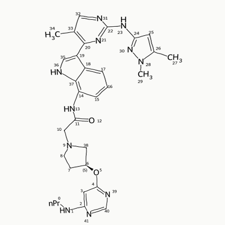 CCCNc1cc(O[C@H]2CCN(CC(=O)Nc3cccc4c(-c5nc(Nc6cc(C)n(C)n6)ncc5C)c[nH]c34)C2)ncn1